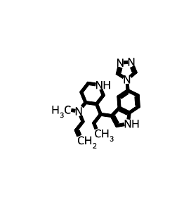 C=CCN(C)C1CCNCC1C(CC)c1c[nH]c2ccc(-n3cnnc3)cc12